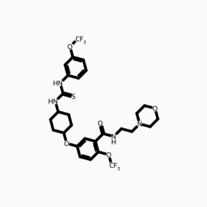 O=C(NCCN1CCOCC1)c1cc(OC2CCC(NC(=S)Nc3cccc(OC(F)(F)F)c3)CC2)ccc1OC(F)(F)F